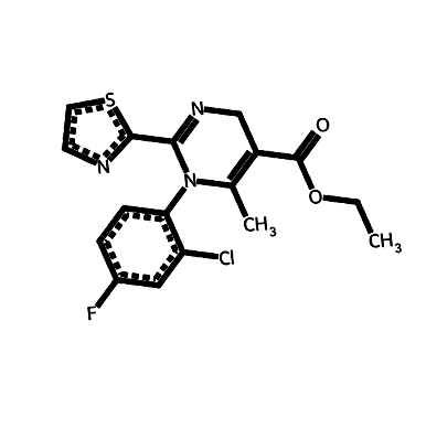 CCOC(=O)C1=C(C)N(c2ccc(F)cc2Cl)C(c2nccs2)=NC1